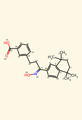 CC1(C)CCC(C)(C)c2cc(/C(CCc3cccc(C(=O)O)c3)=N/O)ccc21